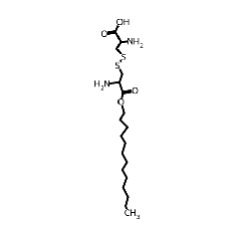 CCCCCCCCCCCCCOC(=O)C(N)CSSCC(N)C(=O)O